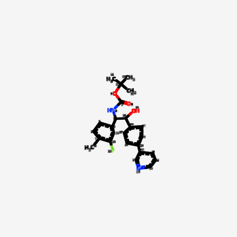 Cc1ccc(C(NC(=O)OC(C)(C)C)C(O)c2ccc(-c3cccnc3)cc2)cc1F